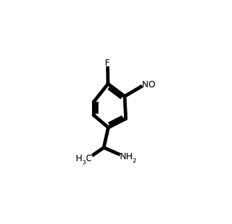 CC(N)c1ccc(F)c(N=O)c1